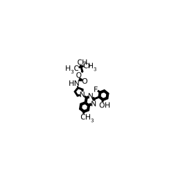 Cc1ccc2c(N3CC[C@@H](NC(=O)OCC(C)(C)C)C3)nc(-c3c(O)cccc3F)nc2c1